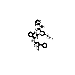 COC1CC(C(=O)Nc2nccs2)N(c2nc3c(c(Nc4cc(C5CCCC5)[nH]n4)n2)CCC3)C1